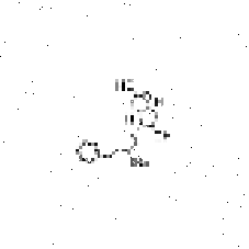 CC(C)(C)[C@H](/C=C/[C@@H]1[C@H]2CC(O)O[C@H]2C[C@H]1O)CCc1ccccc1